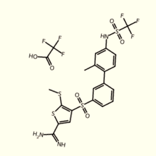 CSc1sc(C(=N)N)cc1S(=O)(=O)c1cccc(-c2ccc(NS(=O)(=O)C(F)(F)F)cc2C)c1.O=C(O)C(F)(F)F